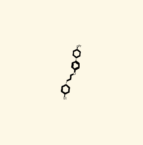 CCC[C@H]1CC[C@H](c2ccc(OCCC[C@H]3CC[C@H](CC)CC3)cc2)CC1